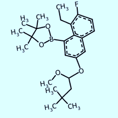 CCc1c(F)ccc2cc(OC(CC(C)(C)C)OC)cc(B3OC(C)(C)C(C)(C)O3)c12